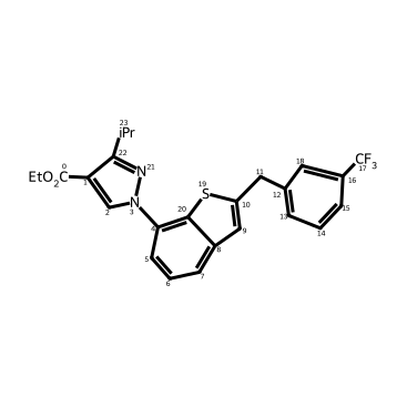 CCOC(=O)c1cn(-c2cccc3cc(Cc4cccc(C(F)(F)F)c4)sc23)nc1C(C)C